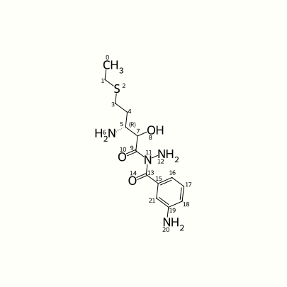 CCSCC[C@@H](N)C(O)C(=O)N(N)C(=O)c1cccc(N)c1